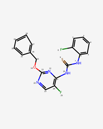 Fc1ccccc1NC(=S)Nc1nc(OCc2ccccc2)ncc1F